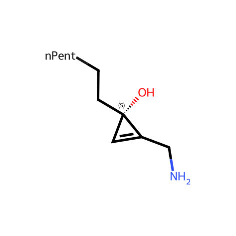 CCCCCCC[C@]1(O)C=C1CN